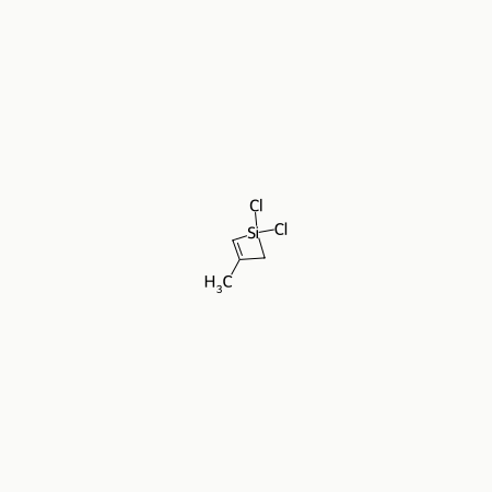 CC1=C[Si](Cl)(Cl)C1